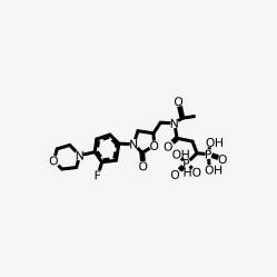 CC(=O)N(CC1CN(c2ccc(N3CCOCC3)c(F)c2)C(=O)O1)C(=O)CC(P(=O)(O)O)P(=O)(O)O